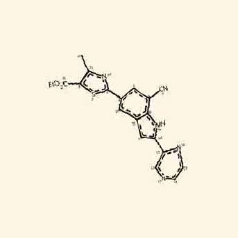 CCOC(=O)c1sc(-c2cc(C#N)c3[nH]c(-c4cnccn4)cc3c2)nc1C